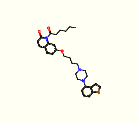 CCCCCC(=O)n1c(=O)ccc2ccc(OCCCCN3CCN(c4cccc5sccc45)CC3)cc21